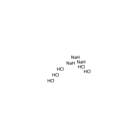 Cl.Cl.Cl.Cl.Cl.[NaH].[NaH].[NaH]